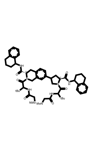 CNCC(=O)NC(C(=O)N1Cc2cc(C3C[C@@H](C(=O)NC4CCCc5ccccc54)N(C(=O)C(NC(=O)CNC)C(C)(C)C)C3)ccc2C[C@H]1C(=O)NC1CCCc2ccccc21)C(C)(C)C